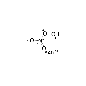 O=[N+]([O-])OO.[Zn+2]